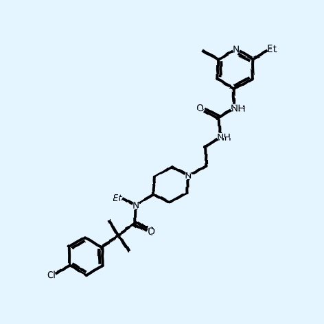 CCc1cc(NC(=O)NCCN2CCC(N(CC)C(=O)C(C)(C)c3ccc(Cl)cc3)CC2)cc(C)n1